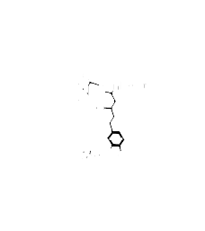 CCCCCC(CC(O)CCc1ccc(O)c(OC)c1)SC[C@H](N)C(=O)O